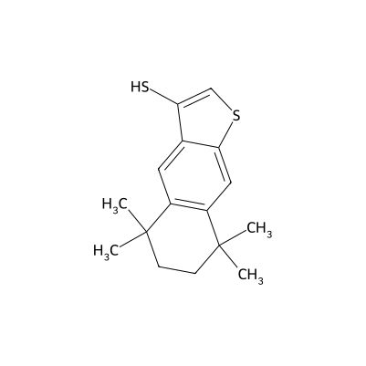 CC1(C)CCC(C)(C)c2cc3c(S)csc3cc21